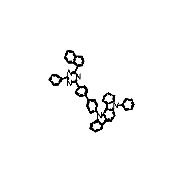 c1ccc(-c2nc(-c3ccc(-c4ccc(-n5c6ccccc6c6ccc7c(c8ccccc8n7-c7ccccc7)c65)cc4)cc3)nc(-c3cccc4ccccc34)n2)cc1